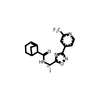 C[C@H](NC(=O)C1C2=CCCC1C2)c1nc(-c2ccnc(C(F)(F)F)c2)no1